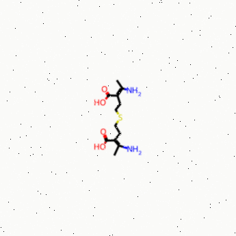 CC(N)=C(CCSCCC(C(=O)O)=C(C)N)C(=O)O